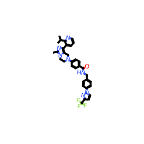 Cc1nc(-c2cccnc2C(C)C)c2n1CCN(c1ccc(C(=O)NCc3ccc(-n4ccc(C(F)(F)F)n4)cc3)cc1)C2